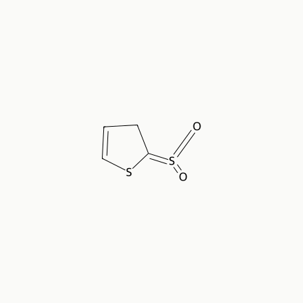 O=S(=O)=C1CC=CS1